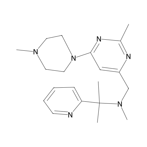 Cc1nc(CN(C)C(C)(C)c2ccccn2)cc(N2CCN(C)CC2)n1